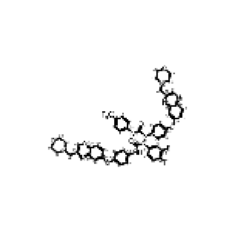 O=C(Nc1ccc(C(F)(F)F)cc1)N(c1ccc(Oc2ccc3ncc(CN4CCOCC4)nc3c2)cc1)N(C(=O)Nc1ccc(Oc2ccc3ncc(CN4CCOCC4)nc3c2)cc1)c1ccc(F)c(F)c1